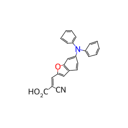 N#C/C(=C\c1cc2ccc(N(c3ccccc3)c3ccccc3)cc2o1)C(=O)O